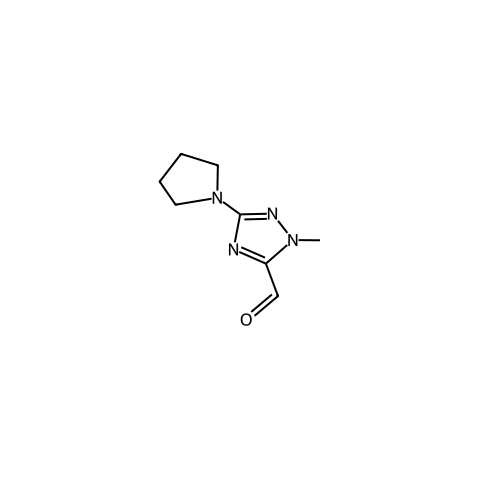 Cn1nc(N2CCCC2)nc1C=O